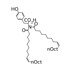 CCCCCCCC/C=C\CCCCCCCC(=O)N(C(=O)CCCCCCC/C=C\CCCCCCCC)C(Cc1ccc(O)cc1)C(=O)O